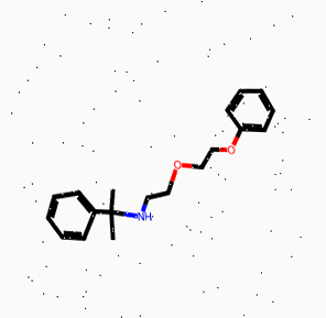 CC(C)(NCCOCCOc1ccccc1)c1ccccc1